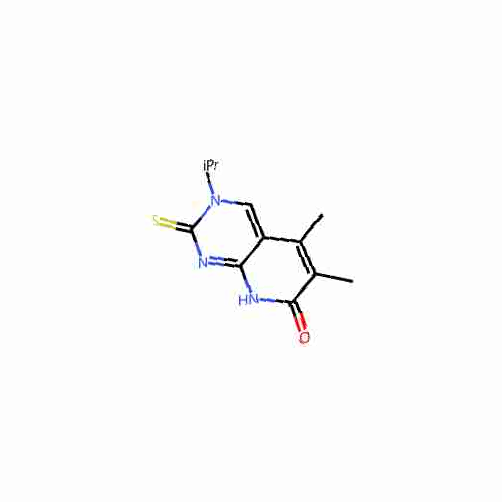 Cc1c(C)c2cn(C(C)C)c(=S)nc2[nH]c1=O